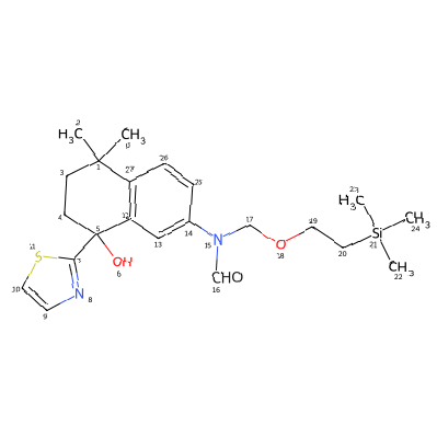 CC1(C)CCC(O)(c2nccs2)c2cc(N(C=O)COCC[Si](C)(C)C)ccc21